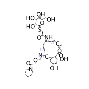 C[C@@H]1C/C=C/[C@@H](NC(=O)CS[C@H]2OC(CO)[C@H](O)C(O)C2O)C/C=C/C(=N/COCC(=O)N2CCCCC2)Cc2cc(O)cc(O)c2C(=O)O1